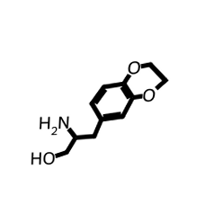 NC(CO)Cc1ccc2c(c1)OCCO2